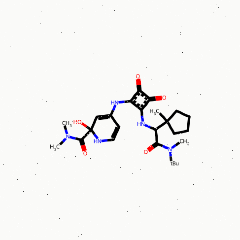 CN(C)C(=O)C1(O)C=C(Nc2c(NC(C(=O)N(C)C(C)(C)C)C3(C)CCCC3)c(=O)c2=O)C=CN1